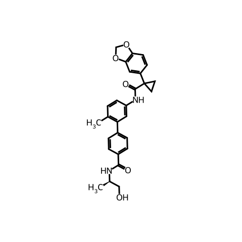 Cc1ccc(NC(=O)C2(c3ccc4c(c3)OCO4)CC2)cc1-c1ccc(C(=O)N[C@H](C)CO)cc1